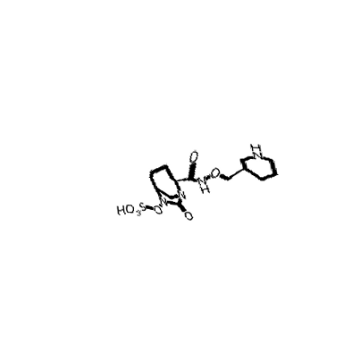 O=C(NOC[C@@H]1CCCNC1)[C@@H]1CCC2CN1C(=O)N2OS(=O)(=O)O